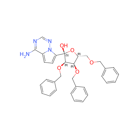 Nc1ncnn2c([C@]3(O)O[C@H](COCc4ccccc4)[C@@H](OCc4ccccc4)[C@H]3OCc3ccccc3)ccc12